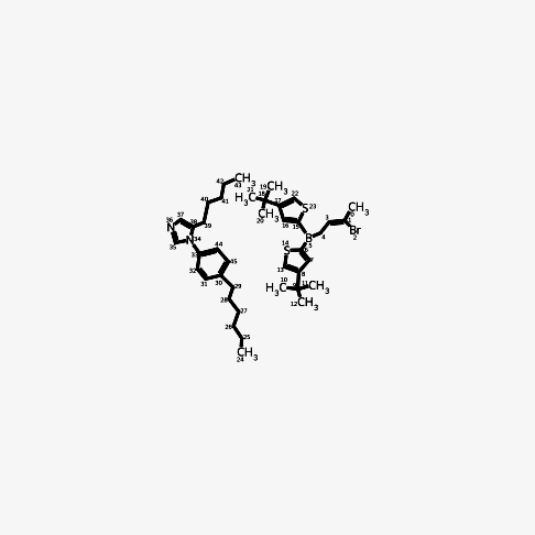 CC(Br)=CCB(c1cc(C(C)(C)C)cs1)c1cc(C(C)(C)C)cs1.CCCCCCc1ccc(-n2cncc2CCCCC)cc1